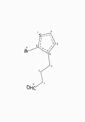 O=CCCCc1ccsc1Br